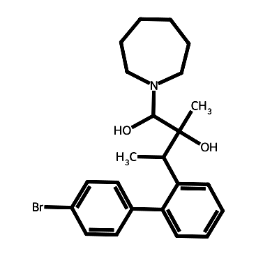 CC(c1ccccc1-c1ccc(Br)cc1)C(C)(O)C(O)N1CCCCCC1